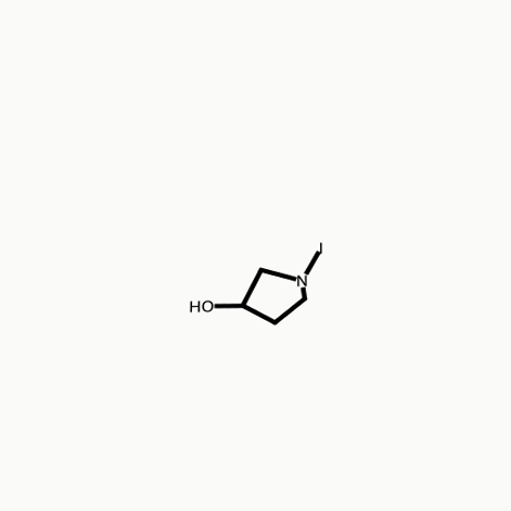 OC1CCN(I)C1